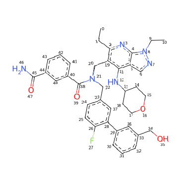 CCc1nc2c(cnn2CC)c(NC2CCOCC2)c1CN(Cc1ccc(F)c(-c2cccc(CO)c2)c1)C(=O)c1cccc(C(N)=O)c1